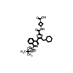 CC(C)(C)NS(=O)(=O)c1ncc(-c2sc(C(=O)N[C@H]3C[C@H](C(=O)O)C3)nc2CC2CCCCC2)c2ccccc12